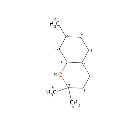 CC1CCC2CCC(C)(C)OC2C1